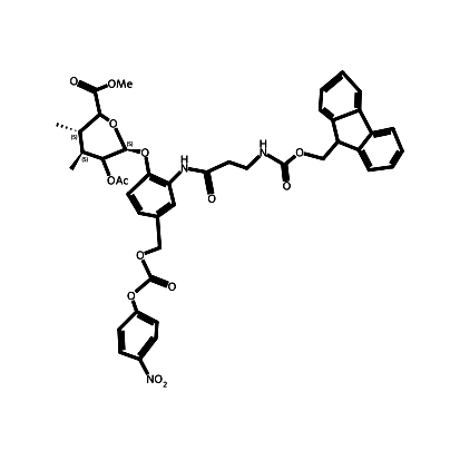 COC(=O)C1O[C@@H](Oc2ccc(COC(=O)Oc3ccc([N+](=O)[O-])cc3)cc2NC(=O)CCNC(=O)OCC2c3ccccc3-c3ccccc32)C(OC(C)=O)[C@@H](C)[C@@H]1C